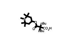 CCCCC(CCCC)(C(=O)O)C(=O)OC1CC(C)(C)N(C)C(C)(C)C1